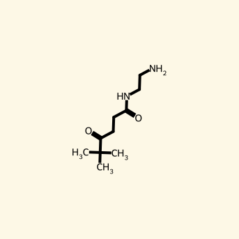 CC(C)(C)C(=O)CCC(=O)NCCN